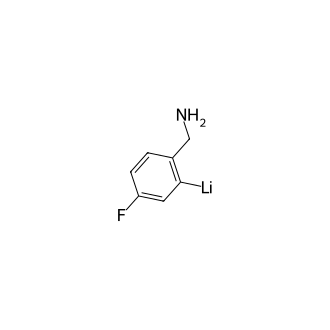 [Li][c]1cc(F)ccc1CN